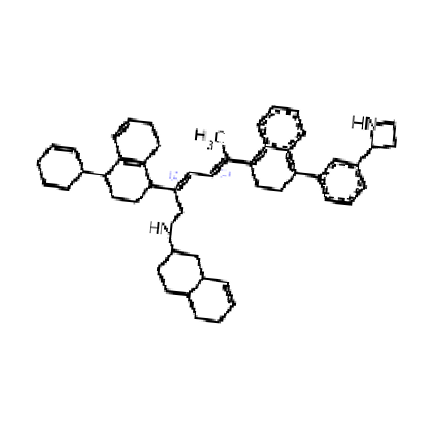 C/C(=C\C=C(/CNC1CCC2CCC=CC2C1)C1CCC(C2C=CCCC2)C2=C1CCC=C2)C1=c2ccccc2=C(c2cccc(C3CCN3)c2)CC1